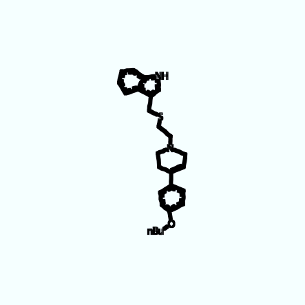 CCCCOc1ccc(C2=CCN(CCSCc3c[nH]c4ccccc34)CC2)cc1